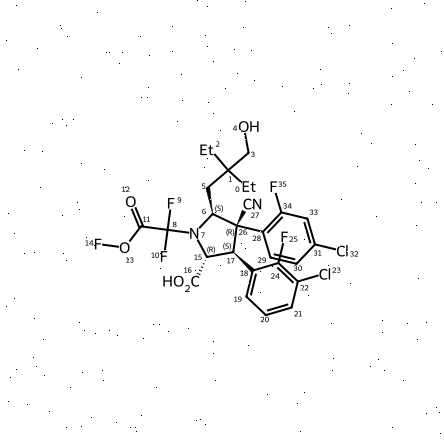 CCC(CC)(CO)C[C@@H]1N(C(F)(F)C(=O)OF)[C@@H](C(=O)O)[C@H](c2cccc(Cl)c2F)[C@@]1(C#N)c1ccc(Cl)cc1F